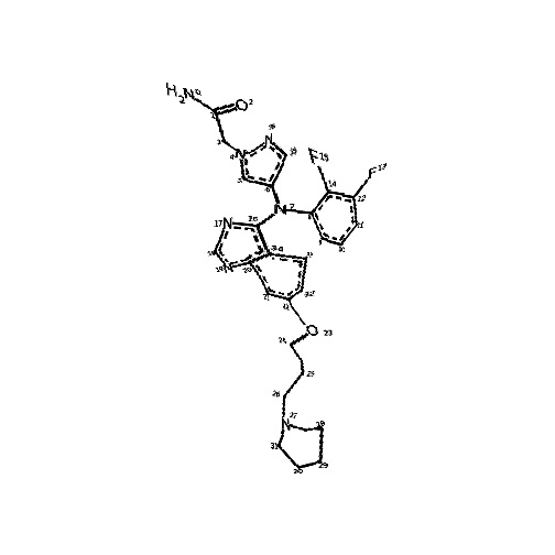 NC(=O)Cn1cc(N(c2cccc(F)c2F)c2ncnc3cc(OCCCN4CCCC4)ccc23)cn1